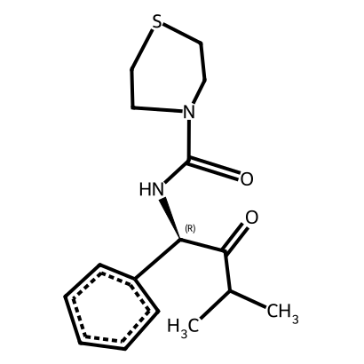 CC(C)C(=O)[C@H](NC(=O)N1CCSCC1)c1ccccc1